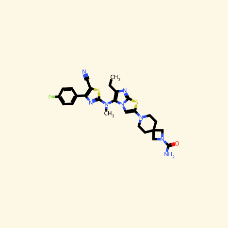 CCc1nc2sc(N3CCC4(CC3)CN(C(N)=O)C4)cn2c1N(C)c1nc(-c2ccc(F)cc2)c(C#N)s1